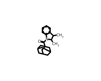 CC1c2ccccc2N(C(=O)C23CC4CC(CC(C4)C2)C3)C1C